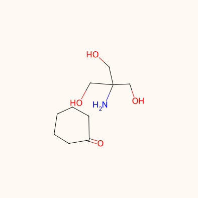 NC(CO)(CO)CO.O=C1CCCCC1